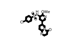 COc1ncc(-c2ccc3nccc(=O)n3c2)cc1NS(=O)(=O)c1ccc(Cl)cc1